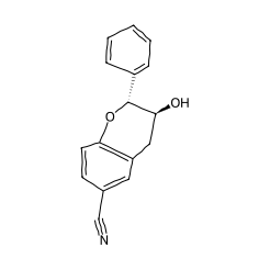 N#Cc1ccc2c(c1)C[C@H](O)[C@@H](c1ccccc1)O2